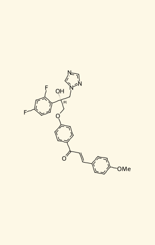 COc1ccc(C=CC(=O)c2ccc(OC[C@](O)(Cn3cncn3)c3ccc(F)cc3F)cc2)cc1